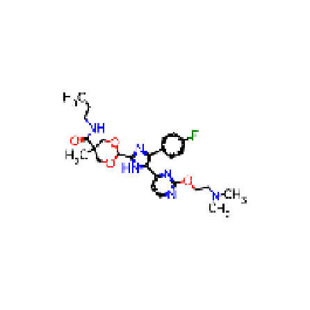 CCCNC(=O)C1(C)COC(c2nc(-c3ccc(F)cc3)c(-c3ccnc(OCCN(C)C)n3)[nH]2)OC1